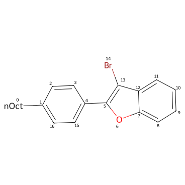 CCCCCCCCc1ccc(-c2oc3ccccc3c2Br)cc1